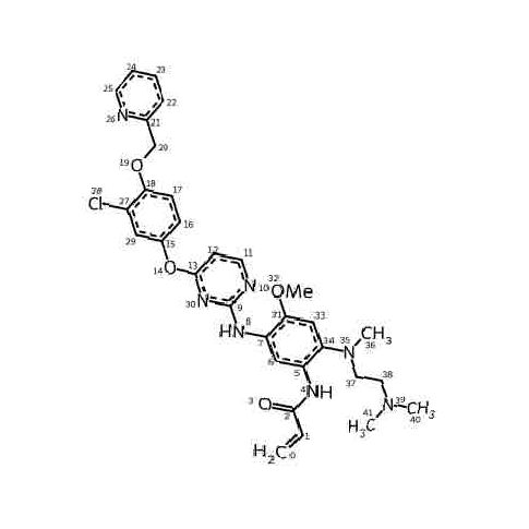 C=CC(=O)Nc1cc(Nc2nccc(Oc3ccc(OCc4ccccn4)c(Cl)c3)n2)c(OC)cc1N(C)CCN(C)C